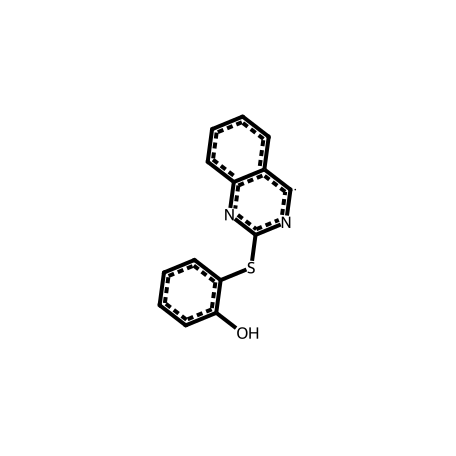 Oc1ccccc1Sc1n[c]c2ccccc2n1